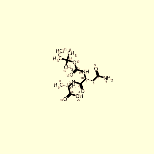 C[C@H](NC(=O)[C@@H](CC(N)=O)NC(=O)OC(C)(C)C)C(=O)O.Cl